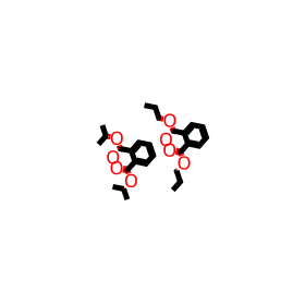 CC(C)OC(=O)c1ccccc1C(=O)OC(C)C.CCCOC(=O)c1ccccc1C(=O)OCCC